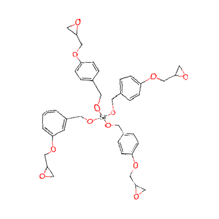 c1cc(CO[Si](OCc2ccc(OCC3CO3)cc2)(OCc2ccc(OCC3CO3)cc2)OCc2ccc(OCC3CO3)cc2)cc(OCC2CO2)c1